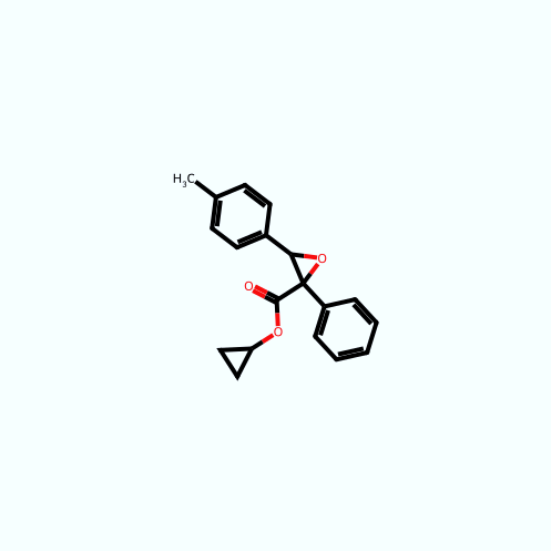 Cc1ccc(C2OC2(C(=O)OC2CC2)c2ccccc2)cc1